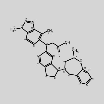 Cc1c(C(CC(=O)O)c2ccc3c(c2)C(N2Cc4ccccc4O[C@H](C)C2)CC3)ccc2c1nnn2C